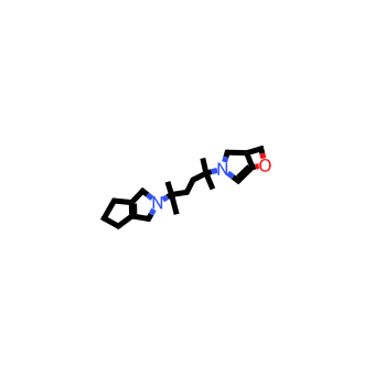 CC(C)(CCC(C)(C)N1CC2=C(CCC2)C1)N1C=C2OCC2C1